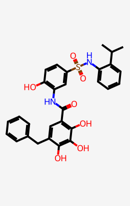 CC(C)c1ccccc1NS(=O)(=O)c1ccc(O)c(NC(=O)c2cc(Cc3ccccc3)c(O)c(O)c2O)c1